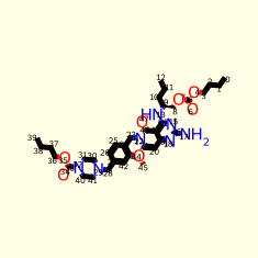 CCCCOC(=O)OC[C@H](CCC)Nc1nc(N)nc2ccn(Cc3ccc(CN4CCN(C(=O)OCCCC)CC4)cc3OC)c(=O)c12